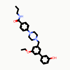 CCCNC(=O)c1ccc(N2CCN(Cc3cc(OCC)cc(-c4cccc(O)c4)c3)CC2)cc1